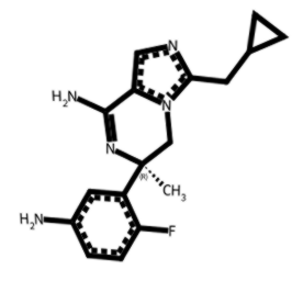 C[C@@]1(c2cc(N)ccc2F)Cn2c(cnc2CC2CC2)C(N)=N1